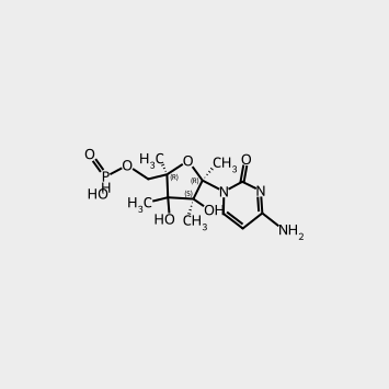 CC1(O)[C@@](C)(CO[PH](=O)O)O[C@@](C)(n2ccc(N)nc2=O)[C@@]1(C)O